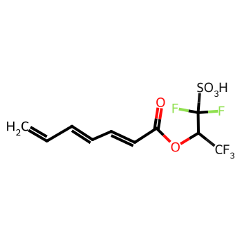 C=C/C=C/C=C/C(=O)OC(C(F)(F)F)C(F)(F)S(=O)(=O)O